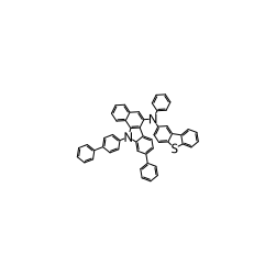 c1ccc(-c2ccc(-n3c4cc(-c5ccccc5)ccc4c4c(N(c5ccccc5)c5ccc6sc7ccccc7c6c5)cc5ccccc5c43)cc2)cc1